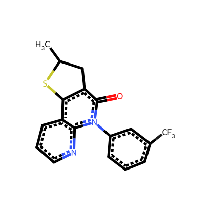 CC1Cc2c(c3cccnc3n(-c3cccc(C(F)(F)F)c3)c2=O)S1